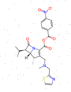 CC(C)[C@H]1C(=O)N2C(C(=O)OC(=O)c3ccc([N+](=O)[O-])cc3)=C(CN(C)Cc3nccs3)[C@H](C)[C@H]12